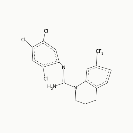 NC(=Nc1cc(Cl)c(Cl)cc1Cl)N1CCCc2ccc(C(F)(F)F)cc21